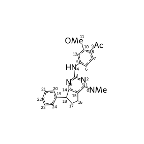 CNc1nc(Nc2ccc(C(C)=O)c(OC)c2)nc2c1CCC2c1ccccc1